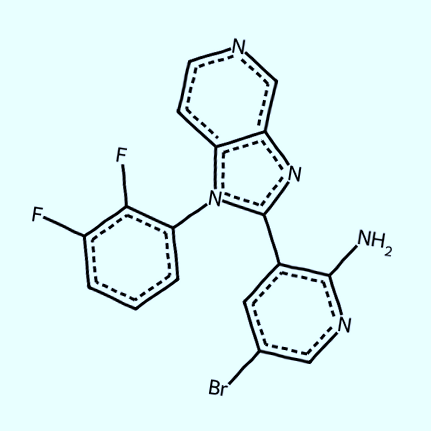 Nc1ncc(Br)cc1-c1nc2cnccc2n1-c1cccc(F)c1F